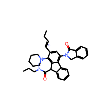 CC/C=C/c1cc(N2Cc3ccccc3C2=O)c2c(c1N1CCCCC1)C(C(=O)NCCC)c1ccccc1-2